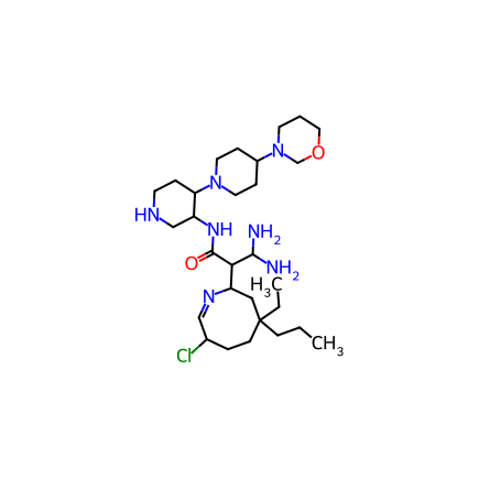 CCCC1(CC)CCC(Cl)/C=N\C(C(C(=O)NC2CNCCC2N2CCC(N3CCCOC3)CC2)C(N)N)C1